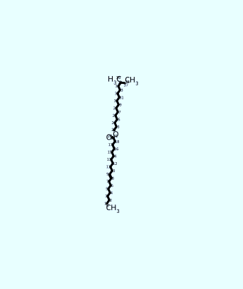 CCCCCCCCC=CCCCCCCCCCC(=O)OCCCCCCCCCCCCCC(C)CC